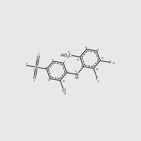 CS(=O)(=O)c1ccc(Nc2c(C(=O)O)ccc(F)c2F)c(Cl)c1